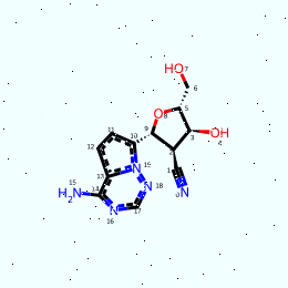 N#C[C@@H]1[C@H](O)[C@@H](CO)O[C@H]1c1ccc2c(N)ncnn12